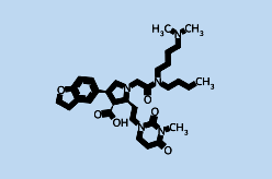 CCCCN(CCCCN(C)C)C(=O)CN1C[C@H](c2ccc3c(c2)CCO3)[C@@H](C(=O)O)[C@@H]1CCN1CCC(=O)N(C)C1=O